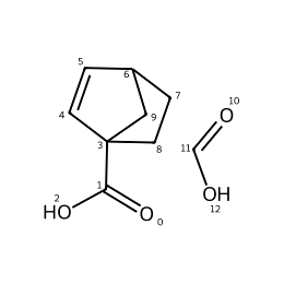 O=C(O)C12C=CC(CC1)C2.O=CO